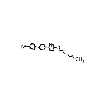 CCC=CCCCCOc1ccc(-c2ccc(-c3ccc(C#N)cc3)cc2)nc1